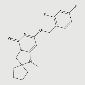 CN1c2cc(OCc3ccc(F)cc3F)nc(=O)n2CC12CCCC2